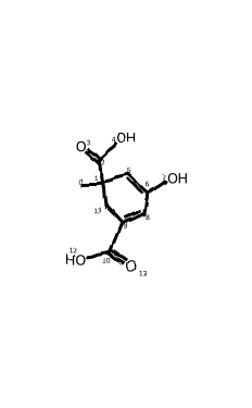 CC1(C(=O)O)C=C(O)C=C(C(=O)O)C1